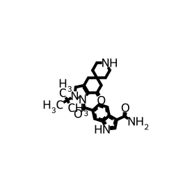 CC(C)(C)N1CC2=C(C(=O)CC3(CCNCC3)C2)N1C(=O)c1ccc2c(C(N)=O)c[nH]c2c1